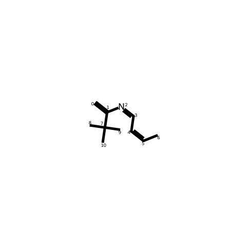 C=C(/N=C\C=C/C)C(C)(C)C